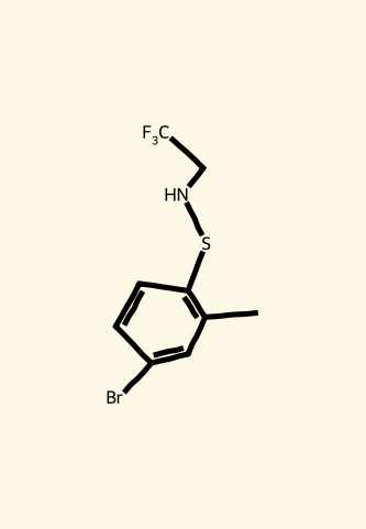 Cc1cc(Br)ccc1SNCC(F)(F)F